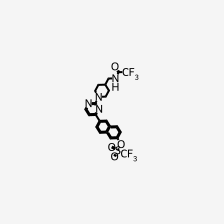 O=C(NCC1CCN(c2nccc(-c3ccc4cc(OS(=O)(=O)C(F)(F)F)ccc4c3)n2)CC1)C(F)(F)F